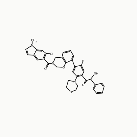 Cn1ccc2cc(C(=O)N3COc4c(cccc4-c4cc(N5CCOCC5)c(C(=O)C(O)c5ccccc5)cc4F)C3)c(Cl)cc21